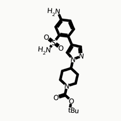 CC(C)(C)OC(=O)N1CCC(n2cc(-c3ccc(N)cc3S(N)(=O)=O)cn2)CC1